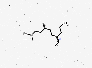 BCC/C(=C/C)CCC(=C)CCN(C)CC